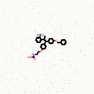 CC/C(=C(/c1ccc(OCCNC(=O)O)cc1)c1ccc(OCc2ccccc2)cc1)c1ccccc1C